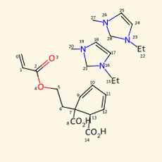 C=CC(=O)OCCC1(C(=O)O)C=CC=CC1C(=O)O.CCN1C=CN(C)C1.CCN1C=CN(C)C1